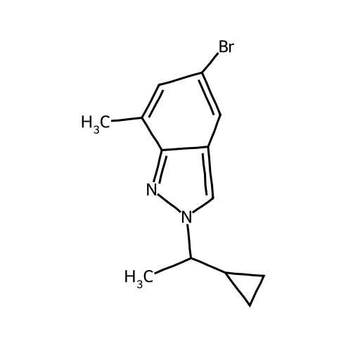 Cc1cc(Br)cc2cn(C(C)C3CC3)nc12